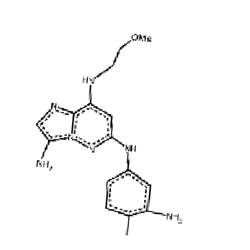 COCCNc1cc(Nc2ccc(C)c(N)c2)nn2c(N)cnc12